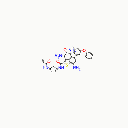 C=CC(=O)N[C@@H]1CC[C@@H](NC(=O)c2sc3c(N)ccc4c3c2C(N)C(=O)C4(N)c2ccc(Oc3ccccc3)cc2C)C1